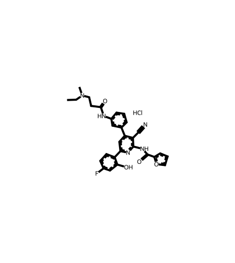 CCN(C)CCC(=O)Nc1cccc(-c2cc(-c3ccc(F)cc3O)nc(NC(=O)c3ccco3)c2C#N)c1.Cl